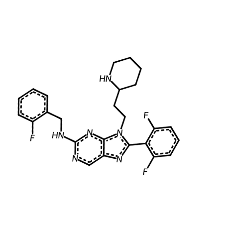 Fc1ccccc1CNc1ncc2nc(-c3c(F)cccc3F)n(CCC3CCCCN3)c2n1